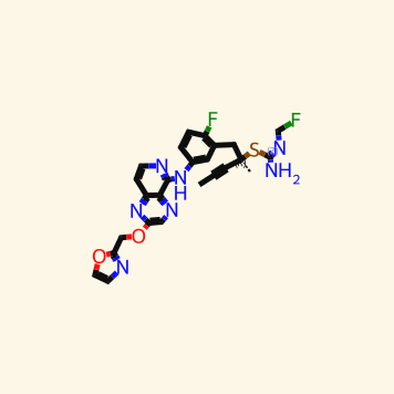 CC#C[C@@](C)(Cc1cc(Nc2nccc3nc(OCc4ncco4)cnc23)ccc1F)S/C(N)=N\CF